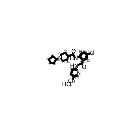 Cl.O=C(Nc1ccc(Cl)cn1)c1cc(Cl)ccc1NC(=O)C1CCN(C2CCCC2)CC1